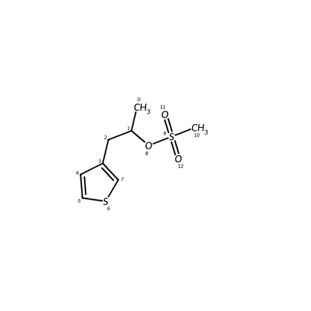 CC(Cc1ccsc1)OS(C)(=O)=O